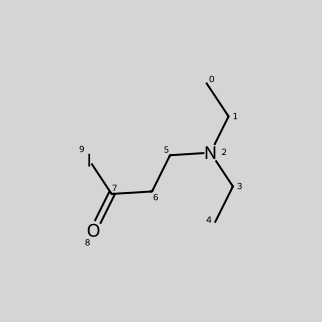 CCN(CC)CCC(=O)I